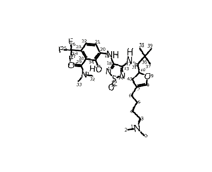 CN(C)CCCCC1=COC([C@H](Nc2n[s+]([O-])nc2Nc2ccc(C(F)(F)F)c(C(=O)N(C)C)c2O)C(C)(C)C)C1